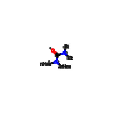 CCCCCCN(CCCCCC)C(=O)N(CC)CC